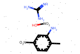 Cc1ccc([N+](=O)[O-])cc1N.N=C(N)N.O=[N+]([O-])O